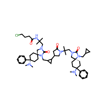 CN(C)[C@]1(c2ccccc2)CC[C@]2(CC1)CN(CC(C)(C)N1CC(C3CC3CN3C(=O)N(CC(C)(C)NC(=O)CCCCl)C[C@]34CC[C@](c3ccccc3)(N(C)C)CC4)CC1=O)C(=O)N2CC1CC1